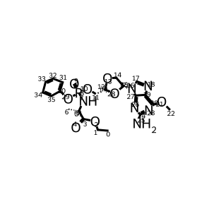 CCOC(=O)[C@H](C)NP(=O)(OC[C@@H]1OC[C@H](n2cnc3c(OC)nc(N)nc32)O1)Oc1ccccc1